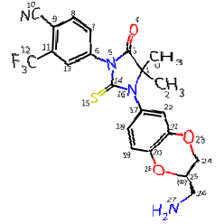 CC1(C)C(=O)N(c2ccc(C#N)c(C(F)(F)F)c2)C(=S)N1c1ccc2c(c1)OC[C@@H](CN)O2